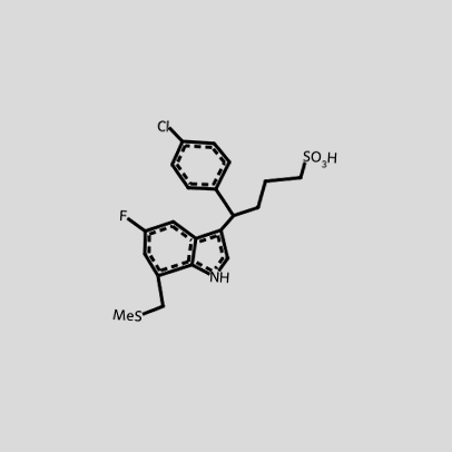 CSCc1cc(F)cc2c(C(CCCS(=O)(=O)O)c3ccc(Cl)cc3)c[nH]c12